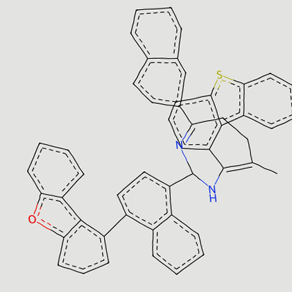 C/C1=C(/c2cccc3sc4ccccc4c23)NC(c2ccc(-c3cccc4oc5ccccc5c34)c3ccccc23)/N=C(/c2ccc3ccccc3c2)CC1